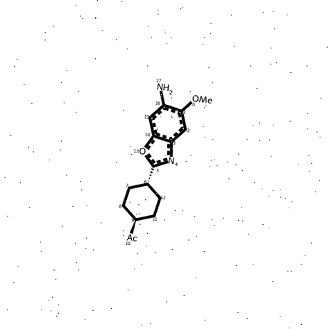 COc1cc2nc([C@H]3CC[C@H](C(C)=O)CC3)oc2cc1N